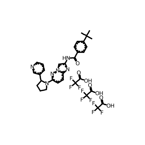 CC(C)(C)c1ccc(C(=O)Nc2cn3nc(N4CCCC4c4cccnc4)ccc3n2)cc1.O=C(O)C(F)(F)F.O=C(O)C(F)(F)F.O=C(O)C(F)(F)F